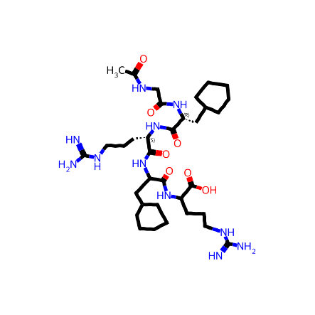 CC(=O)NCC(=O)N[C@H](CC1CCCCC1)C(=O)N[C@@H](CCCNC(=N)N)C(=O)NC(CC1CCCCC1)C(=O)NC(CCCNC(=N)N)C(=O)O